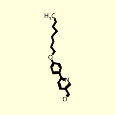 CCCCCCCCOc1ccc(-c2ccc(C=O)cn2)cc1